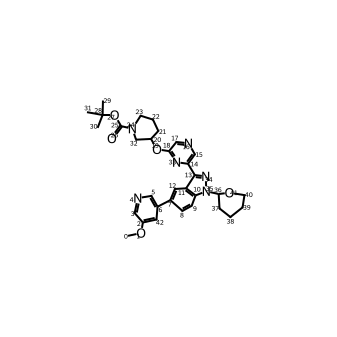 COc1cncc(-c2ccc3c(c2)c(-c2cncc(OC4CCCN(C(=O)OC(C)(C)C)C4)n2)nn3C2CCCCO2)c1